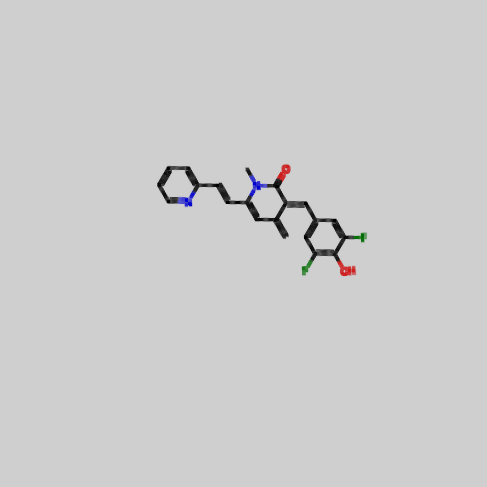 C=c1cc(/C=C/c2ccccn2)n(C)c(=O)/c1=C/c1cc(F)c(O)c(F)c1